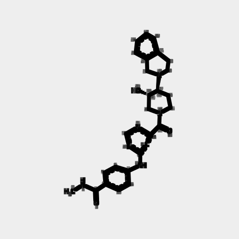 CNC(=O)c1ccc(Nc2cc(C(=O)N3CC[C@H](N4CCc5ccccc5C4)[C@@H](O)C3)ncn2)cc1